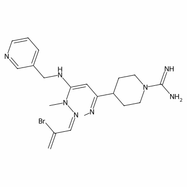 C=C(Br)/C=N\N(C)/C(=C\C(=N/C)C1CCN(C(=N)N)CC1)NCc1cccnc1